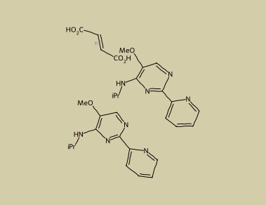 COc1cnc(-c2ccccn2)nc1NC(C)C.COc1cnc(-c2ccccn2)nc1NC(C)C.O=C(O)/C=C/C(=O)O